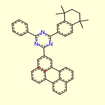 CC1(C)CCC(C)(C)c2cc(-c3nc(-c4ccccc4)nc(-c4cccc(-c5cccc6cccc(-c7ccccc7)c56)c4)n3)ccc21